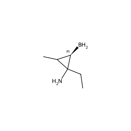 B[C@@H]1C(C)C1(N)CC